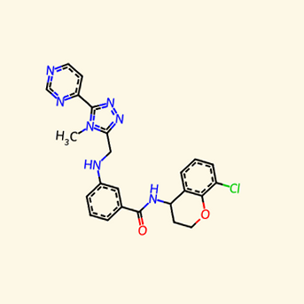 Cn1c(CNc2cccc(C(=O)NC3CCOc4c(Cl)cccc43)c2)nnc1-c1ccncn1